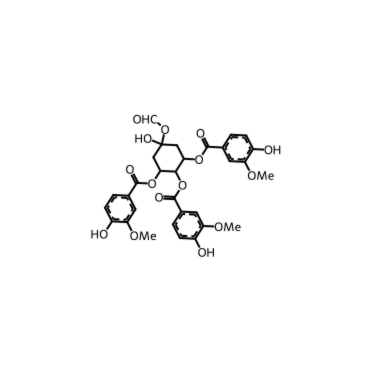 COc1cc(C(=O)OC2CC(O)(OC=O)CC(OC(=O)c3ccc(O)c(OC)c3)C2OC(=O)c2ccc(O)c(OC)c2)ccc1O